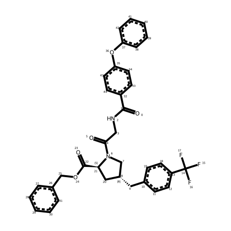 O=C(NCC(=O)N1C[C@H](Cc2ccc(C(F)(F)F)cc2)C[C@H]1C(=O)OCc1ccccc1)c1ccc(Oc2ccccc2)cc1